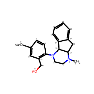 COc1ccc(N2CCN(C)C3Cc4ccccc4C32)c(CO)c1